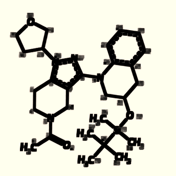 CC(=O)N1CCc2c(c(N3CC(O[Si](C)(C)C(C)(C)C)Cc4ccccc43)nn2C2CCOC2)C1